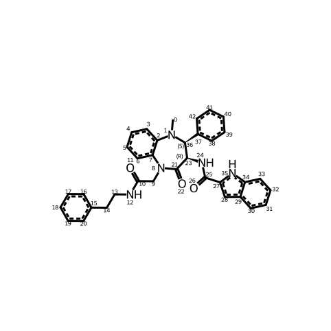 CN1c2ccccc2N(CC(=O)NCCc2ccccc2)C(=O)[C@H](NC(=O)c2cc3ccccc3[nH]2)[C@@H]1c1ccccc1